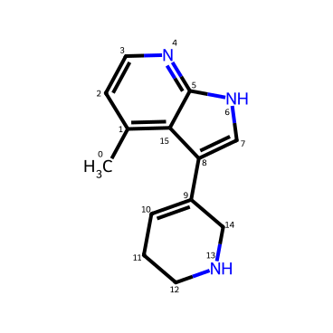 Cc1ccnc2[nH]cc(C3=CCCNC3)c12